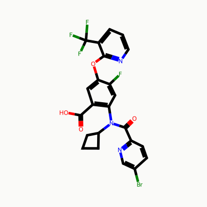 O=C(O)c1cc(Oc2ncccc2C(F)(F)F)c(F)cc1N(C(=O)c1ccc(Br)cn1)C1CCC1